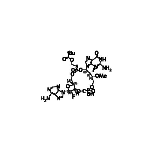 CO[C@@H]1COP(=O)(O)CO[C@H]2[C@@H](F)[C@H](n3cnc4c(N)ncnc43)O[C@@H]2COP(=O)(SCOC(=O)C(C)(C)C)O[C@@H](n2cnc3c(=O)[nH]c(N)nc32)[C@@H]1F